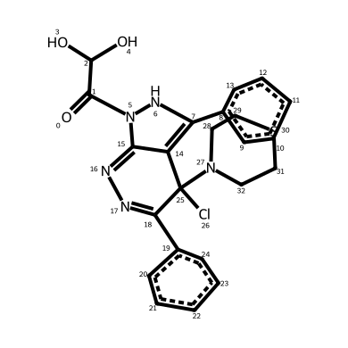 O=C(C(O)O)N1NC(c2ccccc2)=C2C1=NN=C(c1ccccc1)C2(Cl)N1CCSCC1